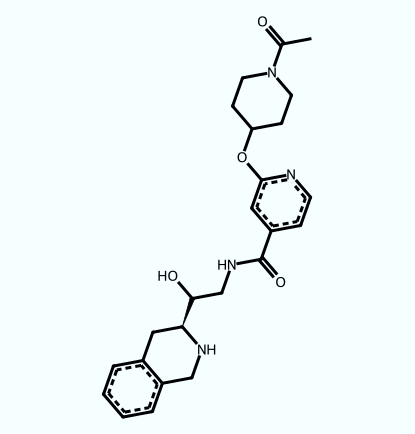 CC(=O)N1CCC(Oc2cc(C(=O)NCC(O)[C@@H]3Cc4ccccc4CN3)ccn2)CC1